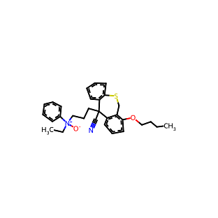 CCCCOc1cccc2c1CSc1ccccc1C2(C#N)CCC[N+]([O-])(CC)c1ccccc1